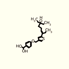 CCC(=CCCC(O)(CC)CC)c1cc(COc2ccc(C(O)O)cc2)cs1